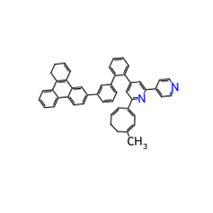 C/C1=C/C=C(c2cc(-c3ccccc3-c3cccc(-c4ccc5c(c4)c4c(c6ccccc65)CCC=C4)c3)cc(-c3ccncc3)n2)\C=C/CC1